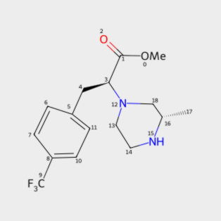 COC(=O)[C@H](Cc1ccc(C(F)(F)F)cc1)N1CCN[C@@H](C)C1